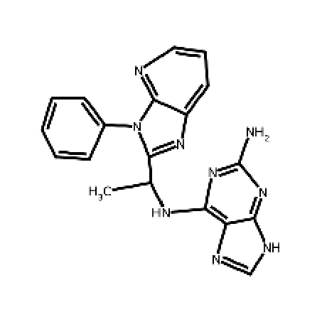 CC(Nc1nc(N)nc2[nH]cnc12)c1nc2cccnc2n1-c1ccccc1